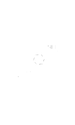 CC(=O)OOCc1ccc(CN)cc1